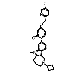 Cn1c2c(c3ccc(-n4ccc(OCc5ccc(F)cn5)cc4=O)cc31)CN(C1CCC1)CCC2